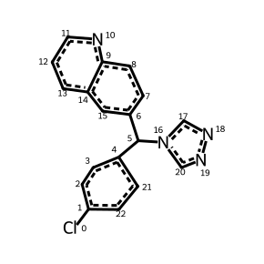 Clc1ccc(C(c2ccc3ncccc3c2)n2cnnc2)cc1